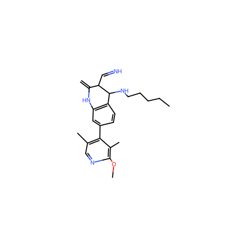 C=C1Nc2cc(-c3c(C)cnc(OC)c3C)ccc2C(NCCCCC)C1C=N